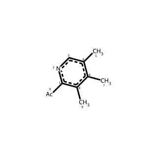 CC(=O)c1ncc(C)c(C)c1C